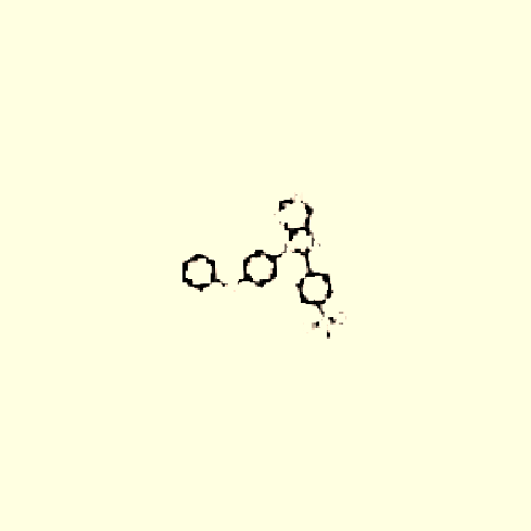 CS(=O)(=O)c1ccc(-c2nc3cncnc3n2-c2ccc(Sc3ccccc3)cc2)cc1